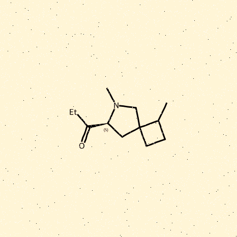 CCC(=O)[C@@H]1CC2(CCC2C)CN1C